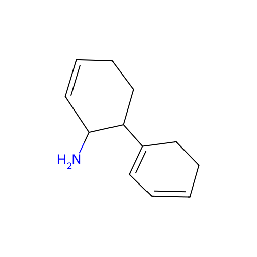 NC1C=CCCC1C1=CC=CCC1